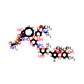 CCN(C(C)=O)C1COC(OC2C(O[C@H]3C#C/C=C\C#C[C@]4(O)CC(=O)C(NC(=O)OC)=C3/C4=C\CSSSCC(N)=O)OCC(NOC3CC(O)C(SCc4cc(I)c(OC5CC(C)C(O)C(OC)C5O)c(OC)c4OC)C(C)O3)C2O)CC1OC